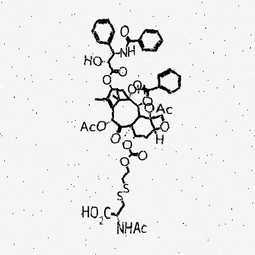 CC(=O)N[C@@H](CSSCCOC(=O)O[C@H]1C[C@H]2OC[C@@]2(OC(C)=O)C2[C@H](OC(=O)c3ccccc3)[C@]3(O)C[C@H](OC(=O)[C@H](O)[C@H](NC(=O)c4ccccc4)c4ccccc4)C(C)=C([C@@H](OC(C)=O)C(=O)[C@@]21C)C3(C)C)C(=O)O